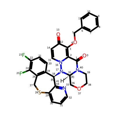 O=C1c2c(OCc3ccccc3)c(=O)ccn2N([C@@H]2c3ccc(F)c(F)c3CSc3cccnc32)[C@@H]2COCCN12